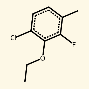 CCOc1c(Cl)ccc(C)c1F